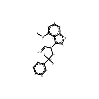 COc1cccc2onc(N(C=O)CC(C)(C)c3ccccc3)c12